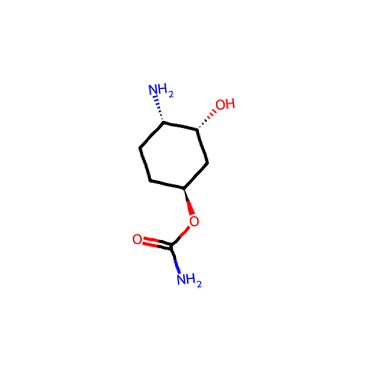 NC(=O)O[C@H]1CC[C@H](N)[C@H](O)C1